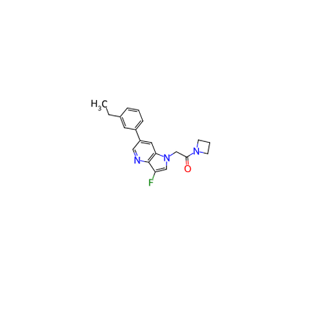 CCc1cccc(-c2cnc3c(F)cn(CC(=O)N4CCC4)c3c2)c1